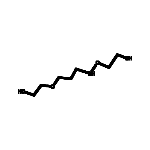 OCCOCCCNOCCO